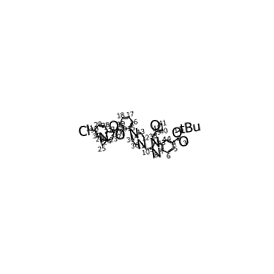 CC(C)(C)OC(=O)c1ccc2nc(CN3CCN(c4cccc5c4OC(CC4CC4)(c4ccc(Cl)cn4)O5)CC3)n(CC3CCO3)c2c1